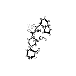 CC(NC(=O)N1CCN(c2ccncc2F)C[C@H]1C)c1cccc2nccn12